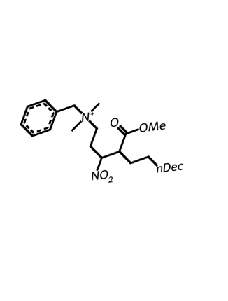 CCCCCCCCCCCCC(C(=O)OC)C(CC[N+](C)(C)Cc1ccccc1)[N+](=O)[O-]